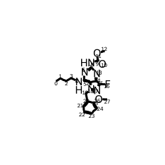 CCCCNc1nc(NC(=O)OC)nc2c(F)nn(Cc3ccccc3OC)c12